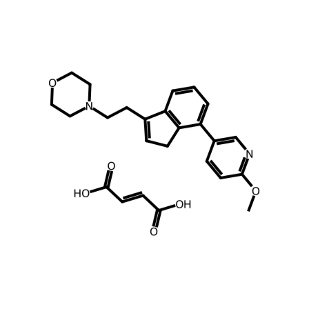 COc1ccc(-c2cccc3c2CC=C3CCN2CCOCC2)cn1.O=C(O)C=CC(=O)O